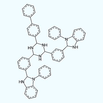 c1ccc(-c2ccc(C3NC(c4cccc(C5Nc6ccccc6N5c5ccccc5)c4)NC(c4cccc(C5Nc6ccccc6N5c5ccccc5)c4)N3)cc2)cc1